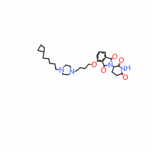 O=C1CCC(N2C(=O)c3cccc(OCCCCN4CCN(CCCCCC5CCC5)CC4)c3C2=O)C(=O)N1